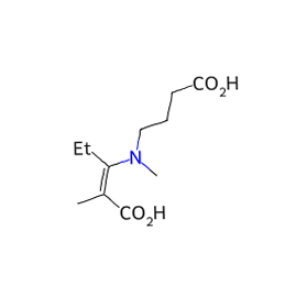 CCC(=C(C)C(=O)O)N(C)CCCC(=O)O